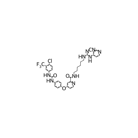 N#C/N=C(/NCCCCCCNC(=O)c1cc(Oc2ccc(NC(=O)Nc3ccc(Cl)c(C(F)(F)F)c3)cc2)ccn1)Nc1ccncc1